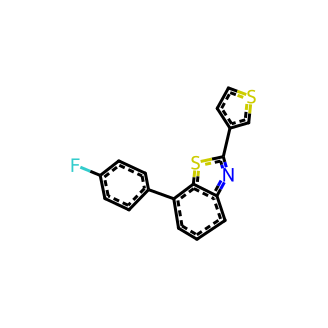 Fc1ccc(-c2cccc3nc(-c4ccsc4)sc23)cc1